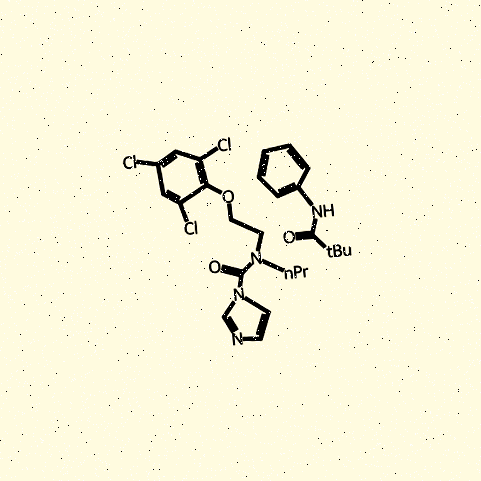 CC(C)(C)C(=O)Nc1ccccc1.CCCN(CCOc1c(Cl)cc(Cl)cc1Cl)C(=O)n1ccnc1